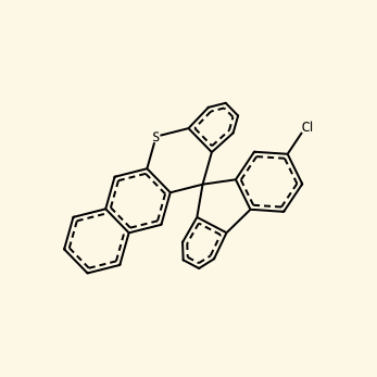 Clc1ccc2c(c1)C1(c3ccccc3Sc3cc4ccccc4cc31)c1ccccc1-2